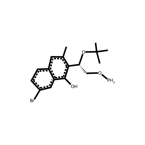 Cc1cc2ccc(Br)cc2c(O)c1[C@@H](COP)OC(C)(C)C